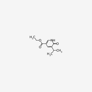 CCOC(=O)c1c[nH]c(=O)c(C(C)C)c1